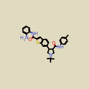 Cc1ccc(NC(=O)C2CN(C(C)(C)C)CC2c2ccc3cc(C(=O)Nc4ccccc4N)sc3c2)cc1